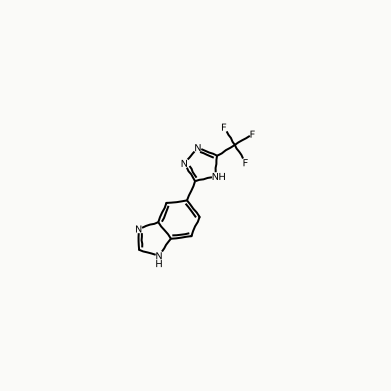 FC(F)(F)c1nnc(-c2ccc3[nH]cnc3c2)[nH]1